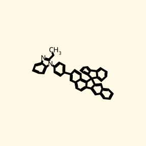 CCc1nc2ccccc2n1-c1ccc(-c2ccc3c4c(ccc3c2)-c2cc3ccccc3cc2C42c3ccccc3-c3ccccc32)cc1